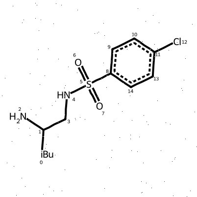 CCC(C)C(N)CNS(=O)(=O)c1ccc(Cl)cc1